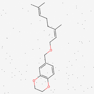 CC(C)=CCCC(C)=CCOCc1ccc2c(c1)OCCO2